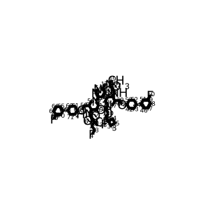 CN(CCF)S(=O)(=O)NC1CCN(c2ccc(CN(C)S(=O)(=O)NC3CCN(C(=O)OCC4(F)CCC4)CC3CO[C@H]3CC[C@@H](c4cccc(F)c4)CC3)nn2)CC1CO[C@H]1CC[C@@H](c2cccc(F)c2)CC1